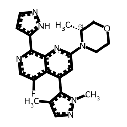 Cc1cnn(C)c1-c1cc(N2CCOC[C@H]2C)nc2c(-c3ccn[nH]3)ncc(F)c12